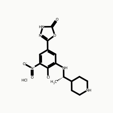 C[C@H](Nc1cc(-c2n[nH]c(=O)o2)cc([N+](=O)[O-])c1Cl)C1CCNCC1.Cl